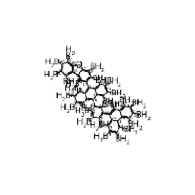 Bc1c(B)c(-c2c3c(B)c(B)c(B)c(B)c3c(-c3c(B)c(B)c4oc5c(B)c(B)c(B)c(B)c5c4c3B)c3c(B)c(B)c(B)c(B)c23)c(B)c(-c2c(B)c3c(B)c(B)c(B)c(B)c3c3c(B)c(B)c(B)c(B)c23)c1B